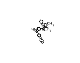 C[C@@H]1CN(C2(CNC(=O)c3ccc4[nH]nc(-c5ccc(N6CCOCC6)cc5)c4c3)CCCCC2)C[C@H](C)O1